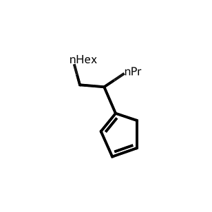 CCCCCCCC(CCC)C1=CC=CC1